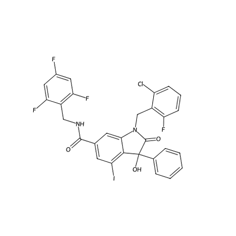 O=C(NCc1c(F)cc(F)cc1F)c1cc(I)c2c(c1)N(Cc1c(F)cccc1Cl)C(=O)C2(O)c1ccccc1